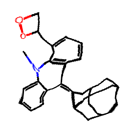 CN1c2ccccc2C(=C2C3CC4CC(C3)CC2C4)c2cccc(C3COO3)c21